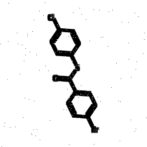 O=C(Sc1ccc(Cl)cc1)c1ccc(Br)cc1